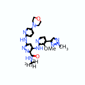 [2H]C([2H])([2H])NC(=O)c1nnc(Nc2ccc(N3CCOCC3)cn2)cc1Nc1nccc(-c2cnn(C)n2)c1OC